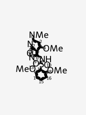 CNc1cc(OC)c2c(NS(=O)(=O)c3c(OC)cccc3OC)noc2n1